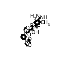 Cc1cc(NC(=O)[C@H](O)[C@H]2OCCN(c3cccc(N4CCOCC4=O)c3)C2=O)ccc1C(=N)N